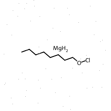 CCCCCCCCOCl.[MgH2]